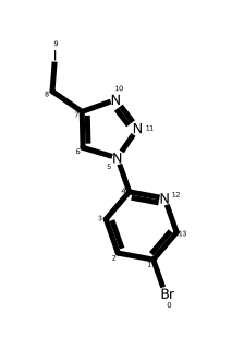 Brc1ccc(-n2cc(CI)nn2)nc1